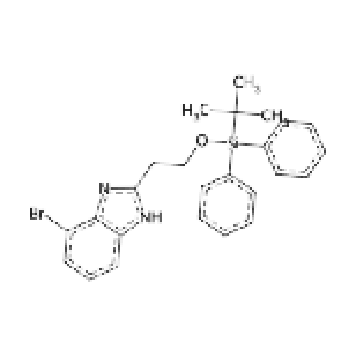 CC(C)(C)[Si](OCCc1nc2c(Br)cccc2[nH]1)(c1ccccc1)c1ccccc1